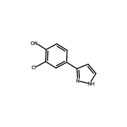 O=Nc1ccc(-c2cc[nH]n2)cc1Cl